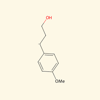 COc1ccc([CH]CCO)cc1